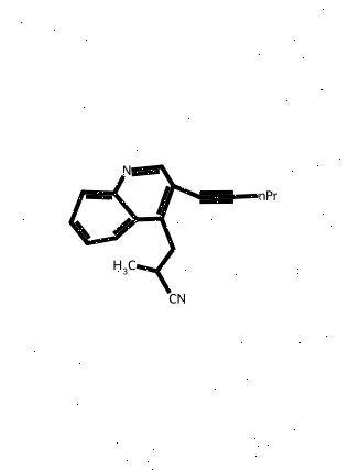 CCCC#Cc1cnc2ccccc2c1CC(C)C#N